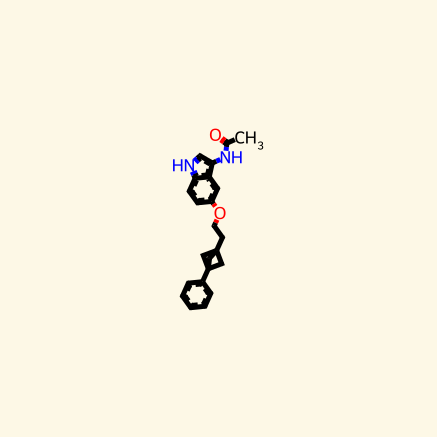 CC(=O)Nc1c[nH]c2ccc(OCCC34CC(c5ccccc5)(C3)C4)cc12